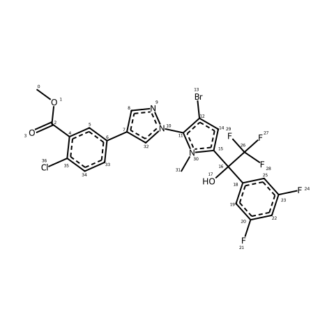 COC(=O)c1cc(-c2cnn(-c3c(Br)cc(C(O)(c4cc(F)cc(F)c4)C(F)(F)F)n3C)c2)ccc1Cl